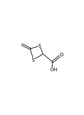 C=C1SC(C(=O)O)S1